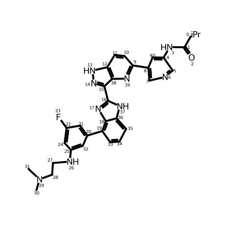 CC(C)C(=O)Nc1cncc(-c2ccc3[nH]nc(-c4nc5c(-c6cc(F)cc(NCCN(C)C)c6)cccc5[nH]4)c3n2)c1